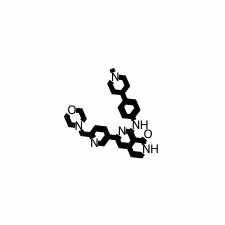 CN1CCC(c2ccc(Nc3nc(-c4ccc(CN5CCOCC5)nc4)cc4cc[nH]c(=O)c34)cc2)CC1